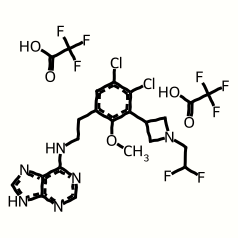 COc1c(CCNc2ncnc3[nH]cnc23)cc(Cl)c(Cl)c1C1CN(CC(F)F)C1.O=C(O)C(F)(F)F.O=C(O)C(F)(F)F